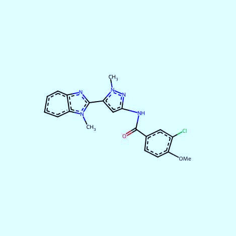 COc1ccc(C(=O)Nc2cc(-c3nc4ccccc4n3C)n(C)n2)cc1Cl